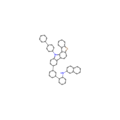 c1ccc(-c2ccc(-n3c4ccc(-c5cccc(-c6ccccc6Nc6ccc7ccccc7c6)c5)cc4c4ccc5sc6ccccc6c5c43)cc2)cc1